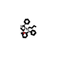 C=C[C@@H]1C=N[C@@H](c2ccccc2)P1N(CCCC)P(c1ccccc1)c1ccccc1